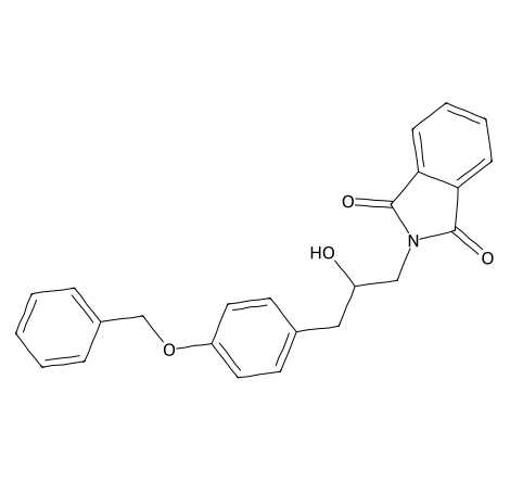 O=C1c2ccccc2C(=O)N1CC(O)Cc1ccc(OCc2ccccc2)cc1